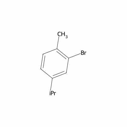 [CH2]C(C)c1ccc(C)c(Br)c1